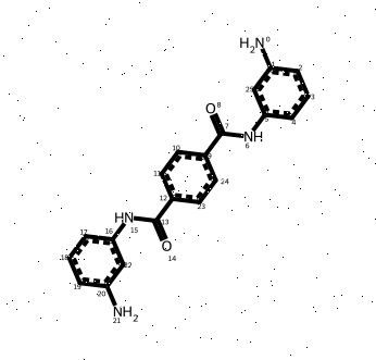 Nc1cccc(NC(=O)c2ccc(C(=O)Nc3cccc(N)c3)cc2)c1